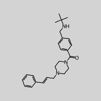 CC(C)(C)NCc1ccc(C(=O)N2CCN(C/C=C/c3ccccc3)CC2)cc1